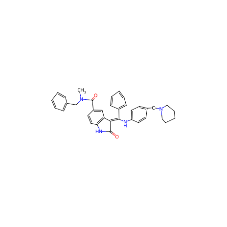 CN(Cc1ccccc1)C(=O)c1ccc2c(c1)/C(=C(/Nc1ccc(CN3CCCCC3)cc1)c1ccccc1)C(=O)N2